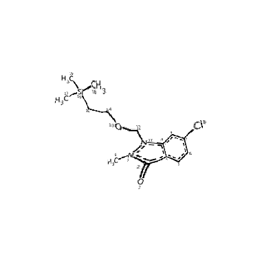 Cn1c(=O)c2ccc(Cl)cc2n1COCC[Si](C)(C)C